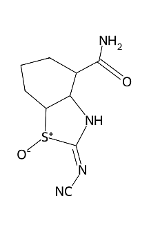 N#CN=C1NC2C(C(N)=O)CCCC2[S+]1[O-]